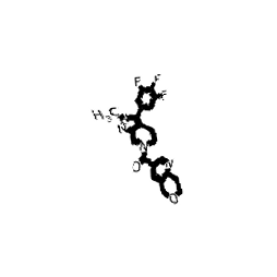 Cn1nc2c(c1-c1cc(F)c(F)c(F)c1)CCN(C(=O)c1cnc3c(c1)COCC3)C2